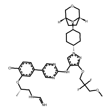 COCC(F)(F)COc1nn([C@H]2CC[C@H](N3[C@@H]4CC[C@H]3COC4)CC2)cc1Nc1ncc(-c2ccc(Cl)c(O[C@@H](C)CNC=N)c2)cn1